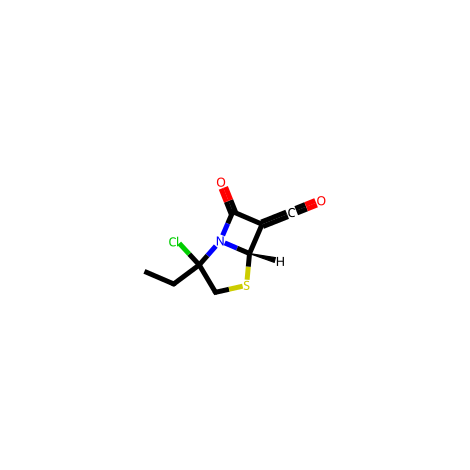 CCC1(Cl)CS[C@H]2C(=C=O)C(=O)N21